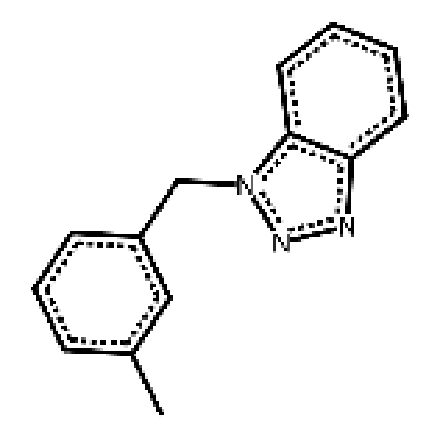 Cc1cccc(Cn2nnc3ccccc32)c1